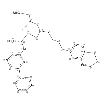 COC[C@@H](F)CN(CCCCc1ccc2c(n1)NCCC2)CC[C@H](Nc1cncc(-c2ccccc2)n1)C(=O)O